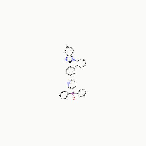 O=P(c1ccccc1)(c1ccccc1)c1ccc(-c2ccc3c(c2)C2C=CC=CC2n2c-3nc3ccccc32)nc1